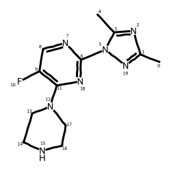 Cc1nc(C)n(-c2ncc(F)c(N3CCNCC3)n2)n1